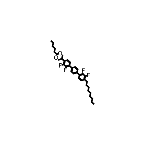 CCCCCCCCCc1ccc(-c2ccc(-c3ccc(C4COC(CCCCC)OC4)c(F)c3F)cc2)c(F)c1F